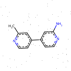 Cc1cc(-c2ccnc(N)c2)ccn1